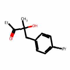 CCC(=O)C(C)(O)Cc1ccc(C(C)C)cc1